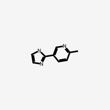 Cc1ccc(C2=NC=C[N]2)cn1